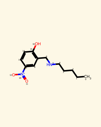 CCCCCNCc1cc([N+](=O)[O-])ccc1O